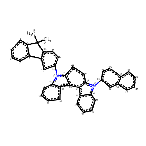 CC1(C)c2ccccc2-c2cc(-n3c4ccccc4c4c5c6ccccc6n(-c6ccc7ccccc7c6)c5ccc43)ccc21